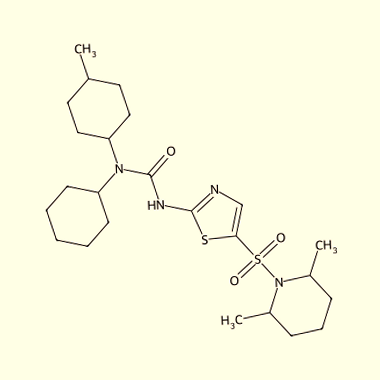 CC1CCC(N(C(=O)Nc2ncc(S(=O)(=O)N3C(C)CCCC3C)s2)C2CCCCC2)CC1